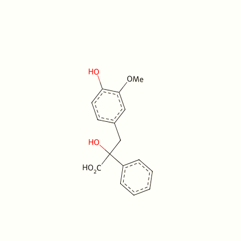 COc1cc(CC(O)(C(=O)O)c2ccccc2)ccc1O